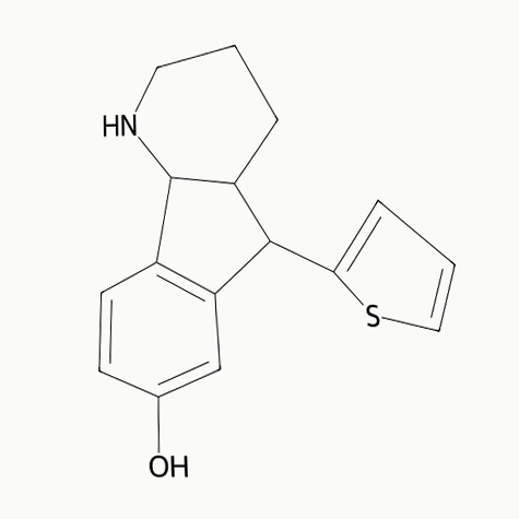 Oc1ccc2c(c1)C(c1cccs1)C1CCCNC21